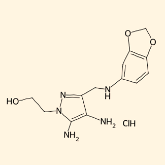 Cl.Nc1c(CNc2ccc3c(c2)OCO3)nn(CCO)c1N